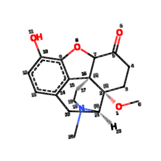 CO[C@@]12CCC(=O)C3Oc4c(O)ccc5c4[C@@]31CCN(C)[C@@H]2C5